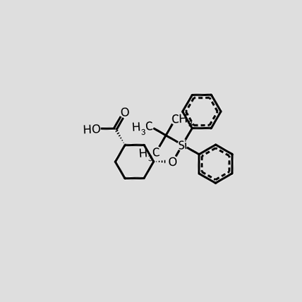 CC(C)(C)[Si](O[C@@H]1CCC[C@H](C(=O)O)C1)(c1ccccc1)c1ccccc1